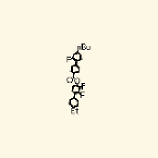 CCCCc1ccc(-c2ccc(C(=O)Oc3ccc(C4CCC(CC)CC4)c(F)c3F)cc2)c(F)c1